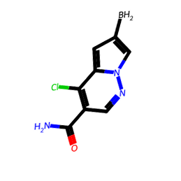 Bc1cc2c(Cl)c(C(N)=O)cnn2c1